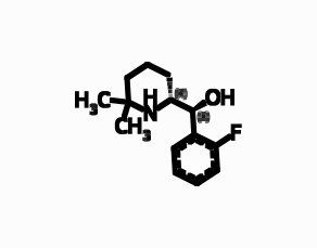 CC1(C)CCC[C@H]([C@@H](O)c2ccccc2F)N1